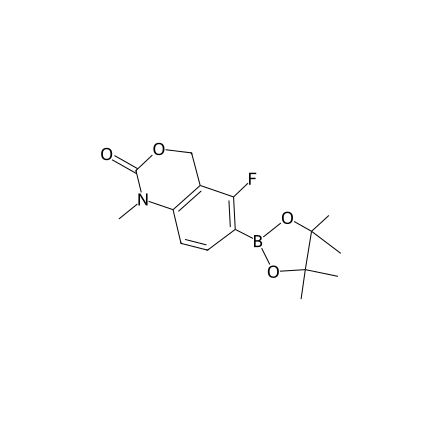 CN1C(=O)OCc2c1ccc(B1OC(C)(C)C(C)(C)O1)c2F